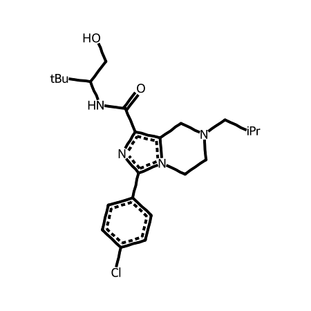 CC(C)CN1CCn2c(-c3ccc(Cl)cc3)nc(C(=O)NC(CO)C(C)(C)C)c2C1